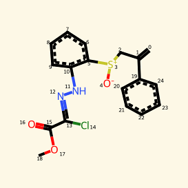 C=C(C[S+]([O-])c1ccccc1NN=C(Cl)C(=O)OC)c1ccccc1